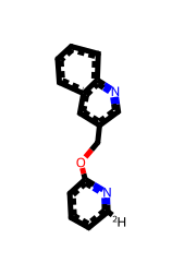 [2H]c1cccc(OCc2cnc3ccccc3c2)n1